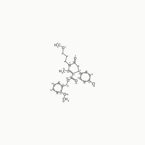 COCCCN1C(=O)CC(c2ccc(Cl)cc2)C(C(=O)OCc2ccccc2OC)=C1C